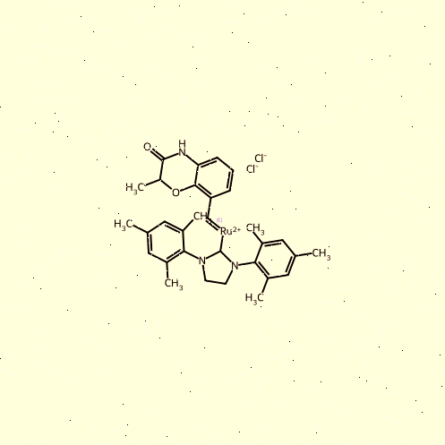 Cc1cc(C)c(N2CCN(c3c(C)cc(C)cc3C)[CH]2/[Ru+2]=[CH]/c2cccc3c2OC(C)C(=O)N3)c(C)c1.[Cl-].[Cl-]